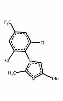 Cc1nc(C(C)(C)C)cn1-c1c(Cl)cc(C(F)(F)F)cc1Cl